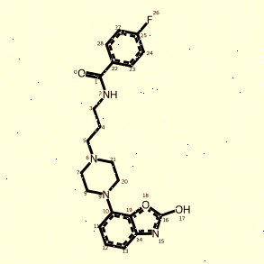 O=C(NCCCN1CCN(c2cccc3nc(O)oc23)CC1)c1ccc(F)cc1